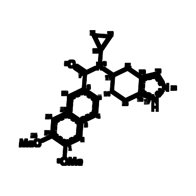 COc1cc2ccc(C(=O)N(C3CC3)C3CCc4[nH]ncc4C3)cc2cc1OC